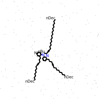 CCCCCCCCCCCCCCCCCCC#CCCCc1ccccc1N=C(C#CCCCCCCCCCCCCCCCCCCCCCCCCCCC)C(CCCC)=Nc1ccccc1CCCC#CCCCCCCCCCCCCCCCCCC.[Ni]